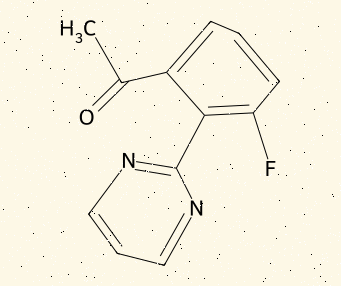 CC(=O)c1cccc(F)c1-c1ncccn1